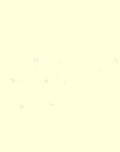 N#Cc1ccc(OC(=O)n2c(Br)c(Br)c(C#N)c2Br)cc1